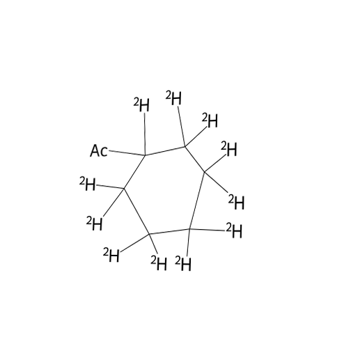 [2H]C1([2H])C([2H])([2H])C([2H])([2H])C([2H])(C(C)=O)C([2H])([2H])C1([2H])[2H]